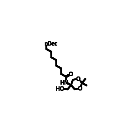 CCCCCCCCCCCCCCCCCC(=O)NC1(CO)COC(C)(C)OC1